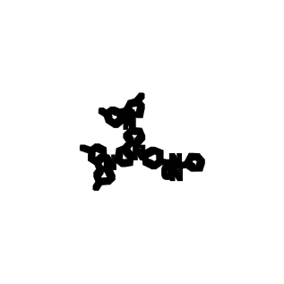 Cc1ccc2c(c1)c1cc(C)ccc1n2-c1ccc2c(c1)c1cc(-n3c4ccc(C)cc4c4cc(C)ccc43)ccc1n2-c1ccc(-c2nc(-c3ccccc3)no2)cc1